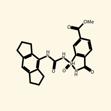 COC(=O)c1ccc2c(c1)[SH](=O)(NC(=O)Nc1c3c(cc4c1CCC4)CCC3)NC2=O